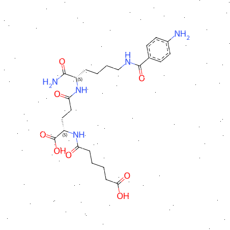 NC(=O)[C@H](CCCCNC(=O)c1ccc(N)cc1)NC(=O)CC[C@H](NC(=O)CCCCC(=O)O)C(=O)O